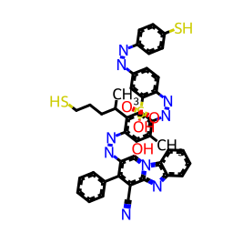 Cc1cc(/N=N\c2c(-c3ccccc3)c(C#N)c3nc4ccccc4n3c2O)c(C(C)CCCS)cc1/N=N\c1ccc(/N=N\c2ccc(S)cc2)cc1S(=O)(=O)O